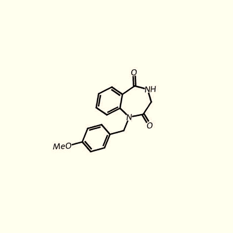 COc1ccc(CN2C(=O)CNC(=O)c3ccccc32)cc1